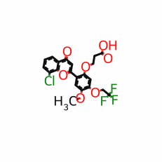 COc1cc(-c2cc(=O)c3cccc(Cl)c3o2)c(OCCC(=O)O)cc1OCC(F)(F)F